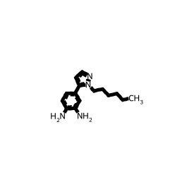 CCCCCCn1nccc1-c1ccc(N)c(N)c1